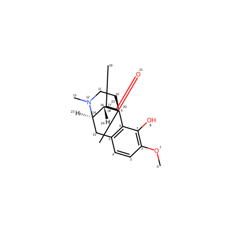 COc1ccc2c(c1O)[C@]13CCN(C)[C@H](C2)[C@@H]1CC(C)C(=O)C3